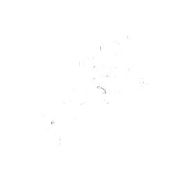 COC(=O)[C@@]12OC[C@@]34[C@@H](CC5=C(C)C(=O)C(O[C@@H]6O[C@H](CO)[C@@H](O)[C@H](O)[C@H]6O)=C[C@]5(C)[C@H]3[C@@H](O)[C@@H]1O)OC(=O)[C@H](OC(=O)C=C(C)C)[C@@H]24